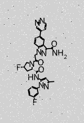 Cc1cc(NC(=O)[C@@H]2C[C@@H](F)CN2C(=O)Cn2nc(C(N)=O)c3cc(-c4ccnnc4)ccc32)n(-c2cccc(F)c2)n1